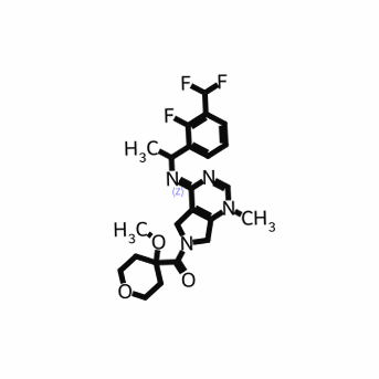 COC1(C(=O)N2Cc3c(n(C)cn/c3=N\C(C)c3cccc(C(F)F)c3F)C2)CCOCC1